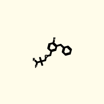 CC(C)(COCc1ccc(F)c(Cc2ccccc2)c1)C(F)F